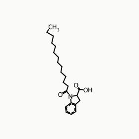 CCCCCCCCCCCCCC(=O)N1c2ccccc2CC1C(=O)O